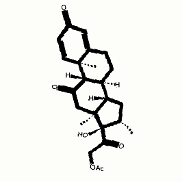 CC(=O)OCC(=O)[C@@]1(O)[C@@H](C)C[C@H]2[C@@H]3CCC4=CC(=O)C=C[C@]4(C)[C@H]3C(=O)C[C@@]21C